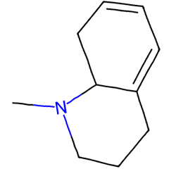 CN1CCCC2=CC=CCC21